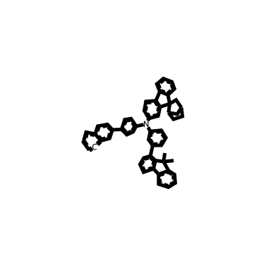 CC1(C)c2ccccc2-c2cccc(-c3cccc(N(c4ccc(-c5ccc6ccccc6c5)cc4)c4ccc5c(c4)C4(CC6CCC4C6)c4ccccc4-5)c3)c21